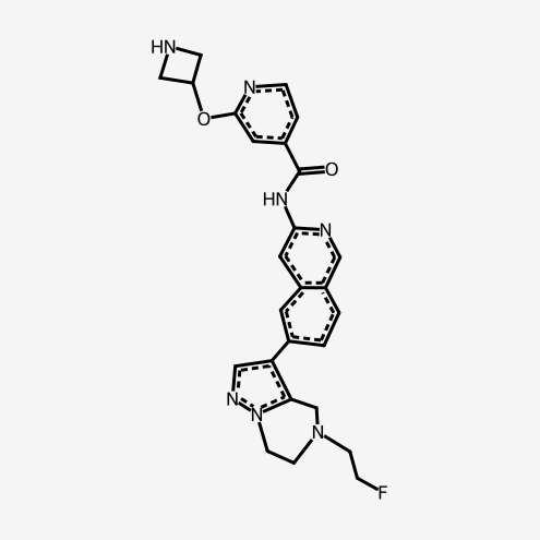 O=C(Nc1cc2cc(-c3cnn4c3CN(CCF)CC4)ccc2cn1)c1ccnc(OC2CNC2)c1